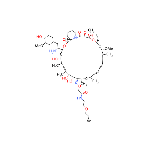 CO[C@H]1C[C@@H]2CC[C@@H](C)[C@@](O)(O2)C(=O)C(=O)N2CCCC[C@H]2C(=O)O[C@H]([C@H](N)C[C@@H]2CC[C@@H](O)[C@H](OC)C2)C[C@@H](O)[C@H](C)/C=C(\C)[C@@H](O)[C@@H](O)/C(=N/OCC(=O)NCCOCCC(C)=O)[C@H](C)C[C@H](C)/C=C/C=C/C=C/1C